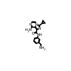 NCc1cccc(NC(=O)c2nc(C3CC3)n3ccnc(N)c23)c1